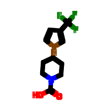 O=C(O)N1CCC([SH]2C=CC(C(F)(F)F)=C2)CC1